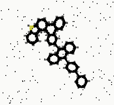 c1ccc(-c2ccc(-c3c4ccccc4c(-c4ccc5c(c4)c4ccccc4c4ccc6sc7ccccc7c6c45)c4ccccc34)cc2)cc1